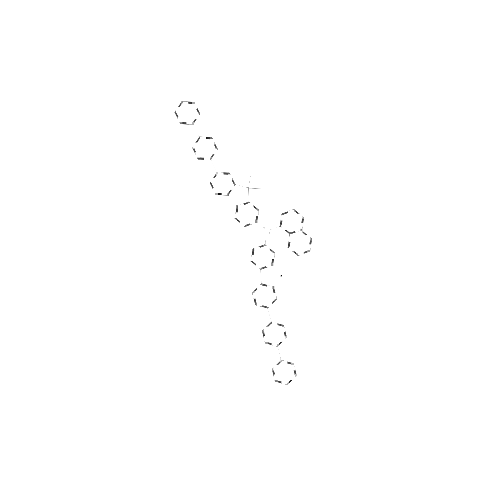 CC1(C)c2cc(-c3ccc(-c4ccccc4)cc3)ccc2-c2ccc(N(c3ccc4c(c3)C(C)(C)c3cc(-c5ccc(-c6ccccc6)cc5)ccc3-4)c3cccc4ccccc34)cc21